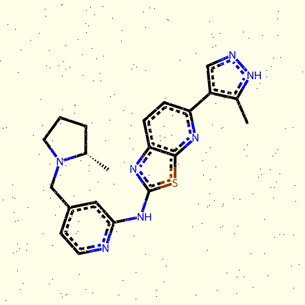 Cc1[nH]ncc1-c1ccc2nc(Nc3cc(CN4CCC[C@@H]4C)ccn3)sc2n1